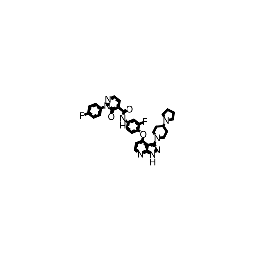 O=C(Nc1ccc(Oc2ccnc3[nH]nc(N4CCC(N5CCCC5)CC4)c23)c(F)c1)c1ccnn(-c2ccc(F)cc2)c1=O